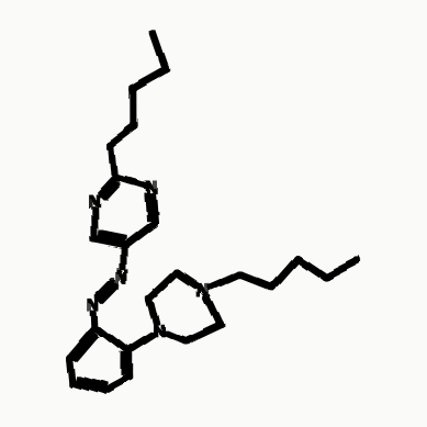 CCCCCc1ncc(/N=N/c2ccccc2N2CCN(CCCCC)CC2)cn1